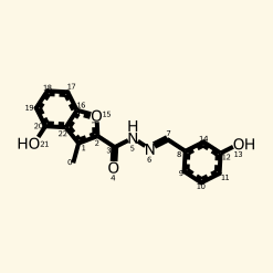 Cc1c(C(=O)NN=Cc2cccc(O)c2)oc2cccc(O)c12